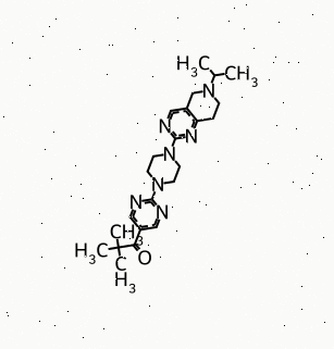 CC(C)N1CCc2nc(N3CCN(c4ncc(C(=O)C(C)(C)C)cn4)CC3)ncc2C1